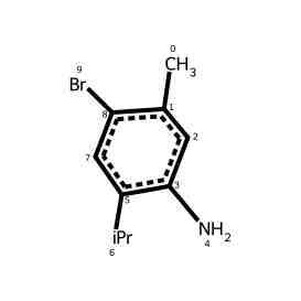 Cc1cc(N)c(C(C)C)cc1Br